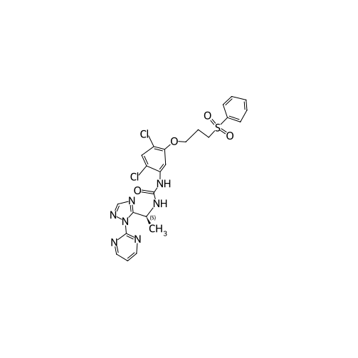 C[C@H](NC(=O)Nc1cc(OCCCS(=O)(=O)c2ccccc2)c(Cl)cc1Cl)c1ncnn1-c1ncccn1